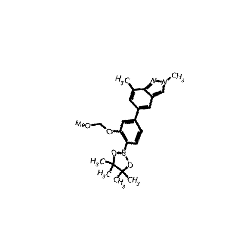 COCOc1cc(-c2cc(C)c3nn(C)cc3c2)ccc1B1OC(C)(C)C(C)(C)O1